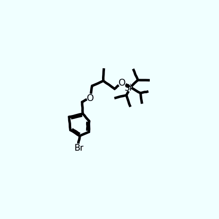 CC(COCc1ccc(Br)cc1)CO[Si](C(C)C)(C(C)C)C(C)C